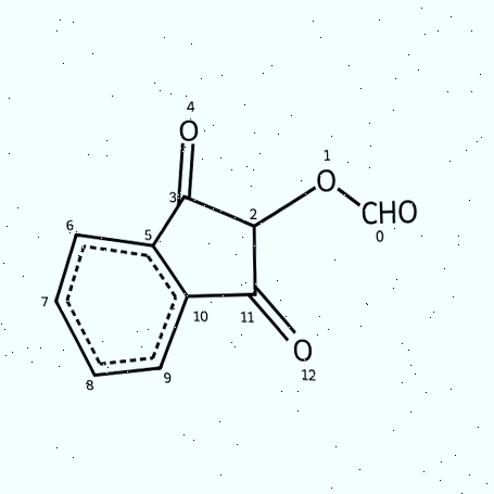 O=COC1C(=O)c2ccccc2C1=O